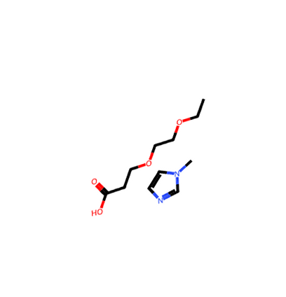 CCOCCOCCC(=O)O.Cn1ccnc1